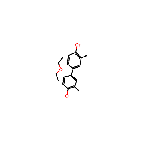 CCOCC.Cc1cc(-c2ccc(O)c(C)c2)ccc1O